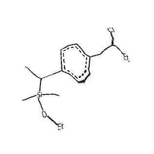 CCO[Si](C)(C)C(C)c1ccc(C(Cl)CC)cc1